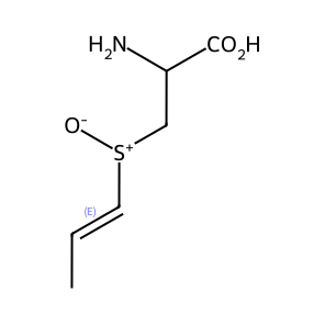 C/C=C/[S+]([O-])CC(N)C(=O)O